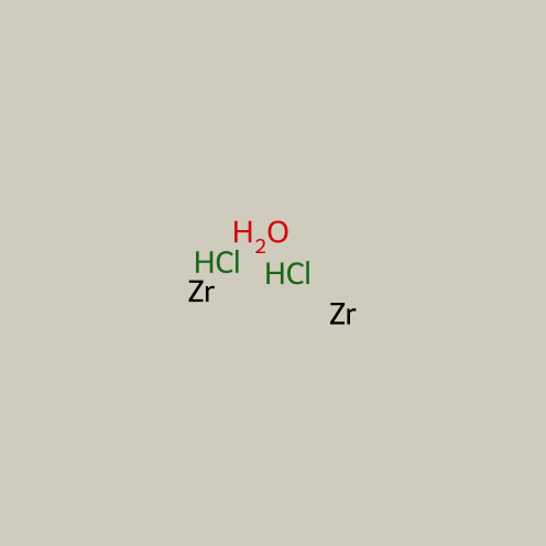 Cl.Cl.O.[Zr].[Zr]